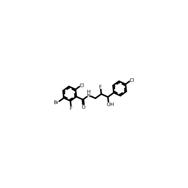 O=C(NCC(F)C(O)c1ccc(Cl)cc1)c1c(Cl)ccc(Br)c1F